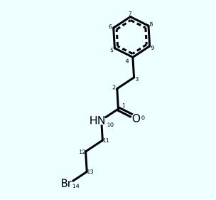 O=C(CCc1ccccc1)NCCCBr